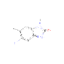 Cc1cc2c(cc1N)[nH]c(=O)n2C